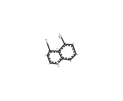 Clc1cccc2nccc(I)c12